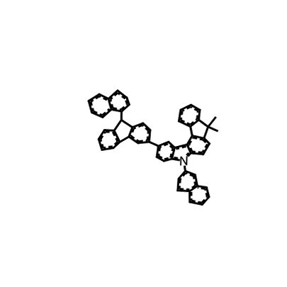 CC1(C)c2ccccc2-c2c1ccc1c2c2cc(-c3ccc4c(c3)-c3ccccc3C4c3cccc4ccccc34)ccc2n1-c1ccc2ccccc2c1